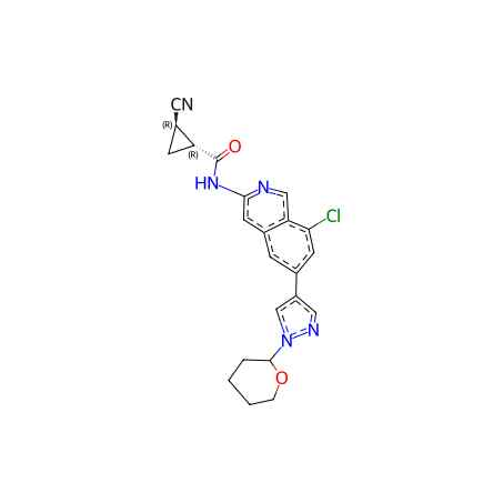 N#C[C@@H]1C[C@H]1C(=O)Nc1cc2cc(-c3cnn(C4CCCCO4)c3)cc(Cl)c2cn1